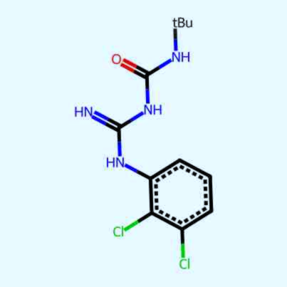 CC(C)(C)NC(=O)NC(=N)Nc1cccc(Cl)c1Cl